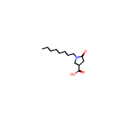 CCCCCCCCN1CC(C(=O)O)CC1=O